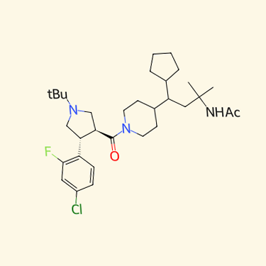 CC(=O)NC(C)(C)CC(C1CCCC1)C1CCN(C(=O)[C@@H]2CN(C(C)(C)C)C[C@H]2c2ccc(Cl)cc2F)CC1